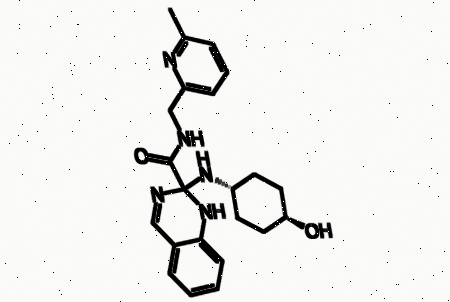 Cc1cccc(CNC(=O)C2(N[C@H]3CC[C@H](O)CC3)N=Cc3ccccc3N2)n1